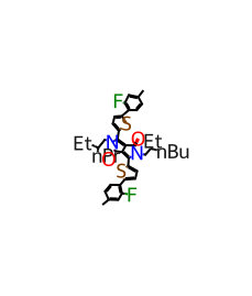 CCCCC(CC)CN1C(=O)C2=C(c3ccc(-c4ccc(C)cc4F)s3)N(CC(CC)CCC)C(=O)C2=C1c1ccc(-c2ccc(C)cc2F)s1